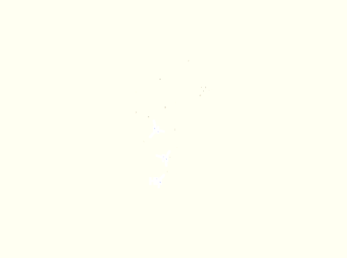 CCNC(=O)N1CCN(C2CCc3cc(F)c(OC)cc32)CC1